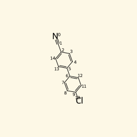 N#Cc1ccc(-c2ccc(Cl)cc2)cc1